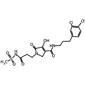 CS(=O)(=O)NC(=O)CCN1CC(C(=O)NCCCc2ccc(Cl)c(Cl)c2)=C(O)C1=O